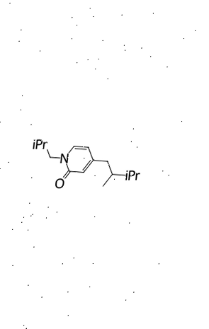 CC(C)Cn1ccc(CC(C)C(C)C)cc1=O